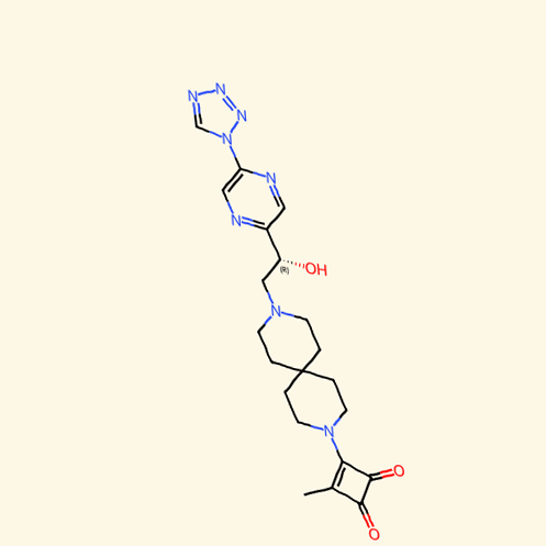 Cc1c(N2CCC3(CCN(C[C@@H](O)c4cnc(-n5cnnn5)cn4)CC3)CC2)c(=O)c1=O